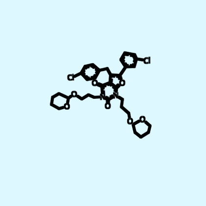 O=c1c2c(Cc3ccc(Cl)cc3)c(-c3cccc(Cl)c3)oc2n(CCCOC2CCCCO2)c(=O)n1CCCOC1CCCCO1